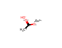 CC(=O)[O-].[Eu+2].[OH-]